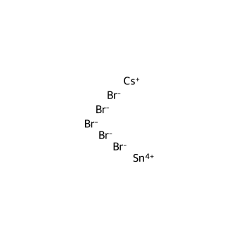 [Br-].[Br-].[Br-].[Br-].[Br-].[Cs+].[Sn+4]